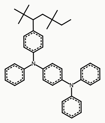 CCC(C)(C)CC(c1ccc(N(c2ccccc2)c2ccc(N(c3ccccc3)c3ccccc3)cc2)cc1)C(C)(C)C